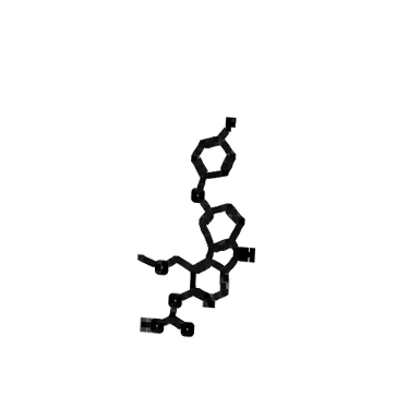 COCc1c(OC(=O)O)ncc2[nH]c3ccc(Oc4ccc(F)cc4)cc3c12